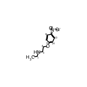 CCNCCOc1ccc([N+](=O)[O-])cc1